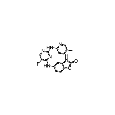 Cc1ccc(Nc2ncc(F)c(Nc3ccc4oc(=O)[nH]c4c3)n2)nc1